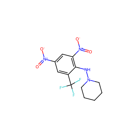 O=[N+]([O-])c1cc([N+](=O)[O-])c(NN2CCCCC2)c(C(F)(F)F)c1